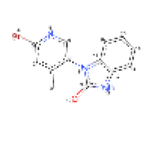 Cc1cc(Br)ncc1-n1c(=O)[nH]c2ccccc21